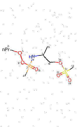 CCCOOP(C)(=O)NC(C)COS(C)(=O)=O